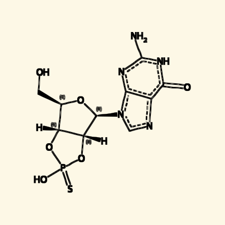 Nc1nc2c(ncn2[C@@H]2O[C@H](CO)[C@H]3OP(O)(=S)O[C@H]32)c(=O)[nH]1